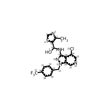 Cc1ncsc1C(O)Nc1nn(Cc2ccc(C(F)(F)F)cc2)c2cncc(Cl)c12